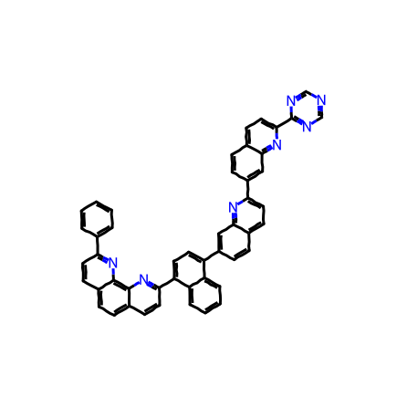 c1ccc(-c2ccc3ccc4ccc(-c5ccc(-c6ccc7ccc(-c8ccc9ccc(-c%10ncncn%10)nc9c8)nc7c6)c6ccccc56)nc4c3n2)cc1